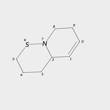 C1=CC2CCCSN2CC1